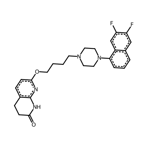 O=C1CCc2ccc(OCCCCN3CCN(c4cccc5cc(F)c(F)cc45)CC3)nc2N1